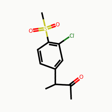 CC(=O)C(C)c1ccc(S(C)(=O)=O)c(Cl)c1